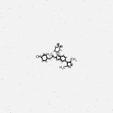 Cc1noc(C)c1-c1ccc2c(c1)nc([C@H](C)Cc1ccc(Cl)cc1)n2[C@@H]1CCS(=O)(=O)C1